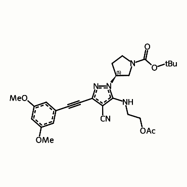 COc1cc(C#Cc2nn([C@H]3CCN(C(=O)OC(C)(C)C)C3)c(NCCOC(C)=O)c2C#N)cc(OC)c1